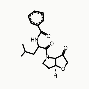 CC(C)CC(NC(=O)c1ccccc1)C(=O)N1CC[C@@H]2OCC(=O)C21